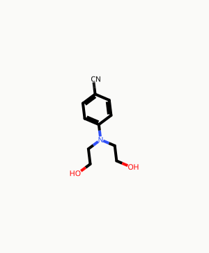 N#Cc1ccc(N(CCO)CCO)cc1